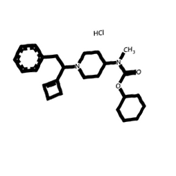 CN(C(=O)OC1CCCCC1)C1CCN(C(Cc2ccccc2)C2=CCC2)CC1.Cl